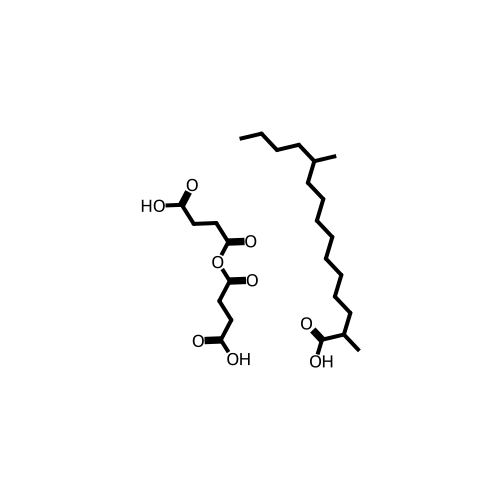 CCCCC(C)CCCCCCCCC(C)C(=O)O.O=C(O)CCC(=O)OC(=O)CCC(=O)O